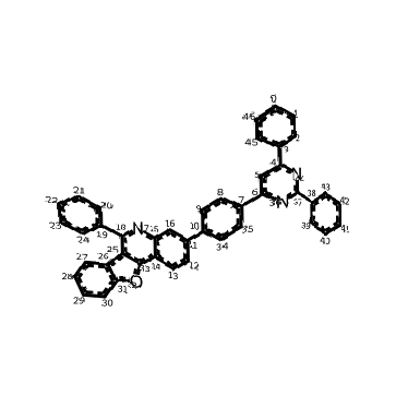 c1ccc(-c2cc(-c3ccc(-c4ccc5c(c4)nc(-c4ccccc4)c4c6ccccc6oc54)cc3)nc(-c3ccccc3)n2)cc1